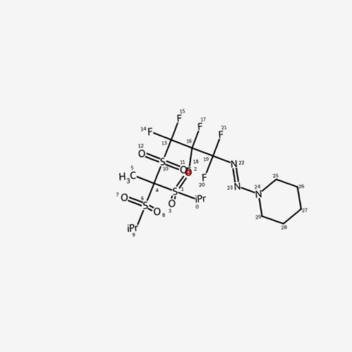 CC(C)S(=O)(=O)C(C)(S(=O)(=O)C(C)C)S(=O)(=O)C(F)(F)C(F)(F)C(F)(F)N=NN1CCCCC1